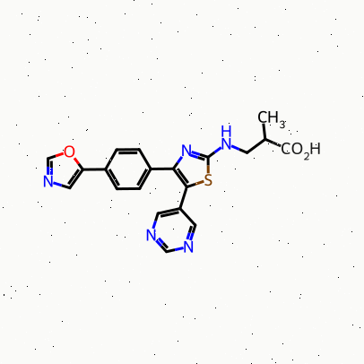 CC(CNc1nc(-c2ccc(-c3cnco3)cc2)c(-c2cncnc2)s1)C(=O)O